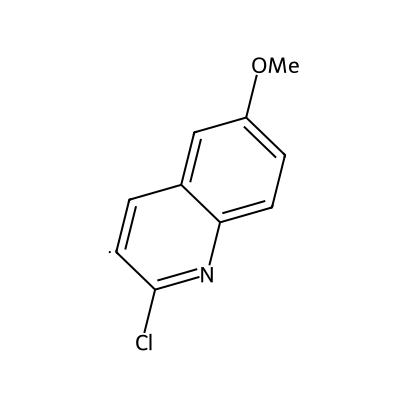 COc1ccc2nc(Cl)[c]cc2c1